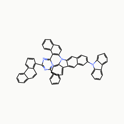 c1ccc(-c2nc(-c3c(-n4c5ccccc5c5cc6cc(-n7c8ccccc8c8ccccc87)ccc6cc54)ccc4ccccc34)nc(-c3cccc4c3ccc3ccccc34)n2)cc1